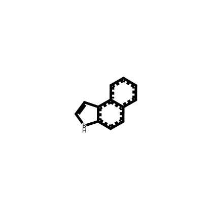 B1C=Cc2c1ccc1ccccc21